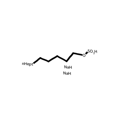 CCCCCCCCCCCCOS(=O)(=O)O.[NaH].[NaH]